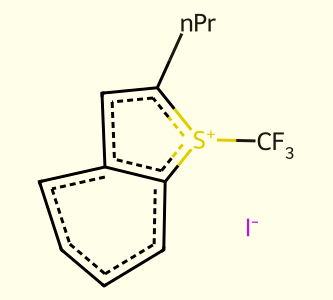 CCCc1cc2ccccc2[s+]1C(F)(F)F.[I-]